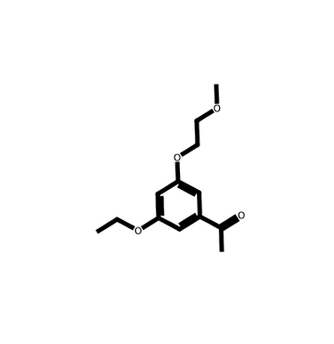 CCOc1cc(OCCOC)cc(C(C)=O)c1